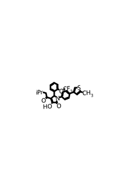 Cc1cc(-c2ccc(N3C(=O)C(O)=C(C(=O)CC(C)C)C3c3ccccc3OC(F)(F)F)cc2)cs1